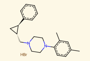 Br.Cc1ccc(N2CCN(C[C@@H]3C[C@H]3c3ccccc3)CC2)c(C)c1